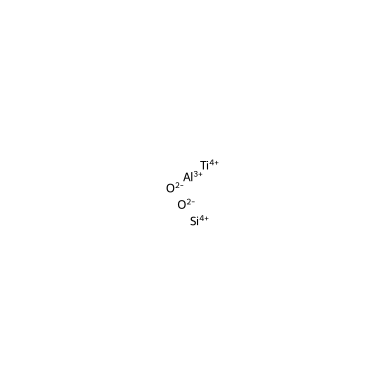 [Al+3].[O-2].[O-2].[Si+4].[Ti+4]